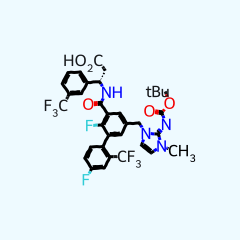 Cn1ccn(Cc2cc(C(=O)N[C@@H](CC(=O)O)c3cccc(C(F)(F)F)c3)c(F)c(-c3ccc(F)cc3C(F)(F)F)c2)/c1=N\C(=O)OC(C)(C)C